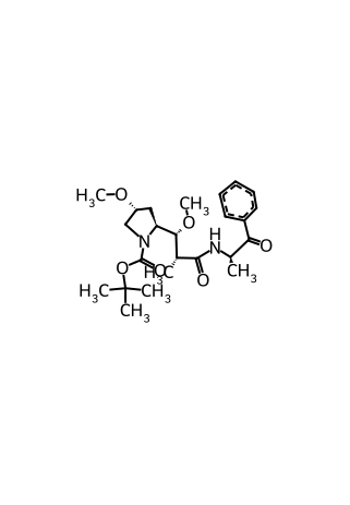 CO[C@@H]1C[C@@H]([C@H](OC)[C@@H](C)C(=O)N[C@H](C)C(=O)c2ccccc2)N(C(=O)OC(C)(C)C)C1